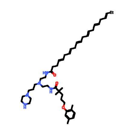 CCC=CCC=CCC=CCC=CCC=CCC=CCCC(=O)NCCN(CCCN1CCNCC1)CCNC(=O)C(C)(C)CCCOc1cc(C)ccc1C